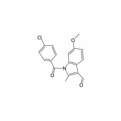 COc1ccc2c(C=O)c(C)n(C(=O)c3ccc(Cl)cc3)c2c1